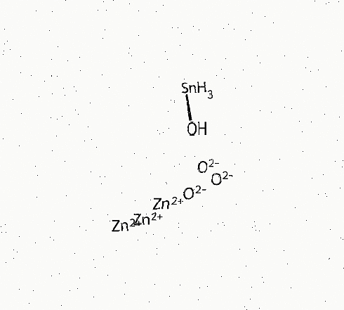 [O-2].[O-2].[O-2].[OH][SnH3].[Zn+2].[Zn+2].[Zn+2]